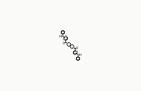 O=C(c1cccc(Nc2ccccc2)n1)N1CCC2(CC1)CCN(C(=O)c1ccnc(Nc3ccccc3)n1)CC2